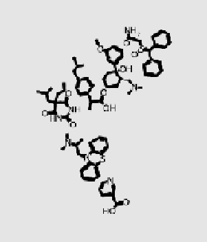 C=CCC1(CC(C)C)C(=O)NC(=O)NC1=O.CC(C)Cc1ccc(C(C)C(=O)O)cc1.CC(CN1c2ccccc2Sc2ccccc21)N(C)C.COc1cccc([C@@]2(O)CCCC[C@@H]2CN(C)C)c1.NC(=O)C[S+]([O-])C(c1ccccc1)c1ccccc1.O=C(O)c1cccnc1